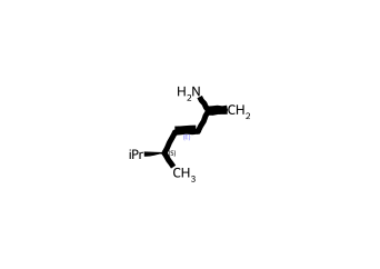 C=C(N)/C=C/[C@@H](C)C(C)C